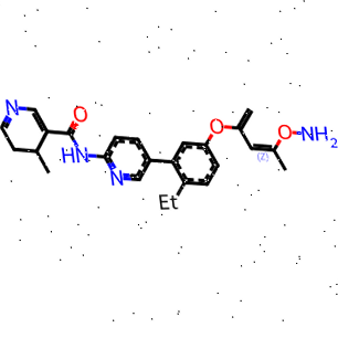 C=C(/C=C(/C)ON)Oc1ccc(CC)c(-c2ccc(NC(=O)C3=CN=CCC3C)nc2)c1